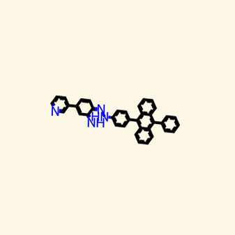 N=C1C=C(c2cccnc2)C=C/C1=N/Nc1ccc(-c2c3ccccc3c(-c3ccccc3)c3ccccc23)cc1